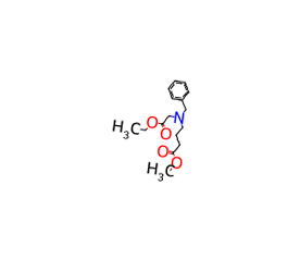 CCOC(=O)CN(CCCC(=O)OC)Cc1ccccc1